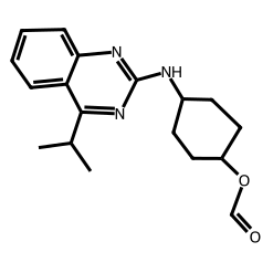 CC(C)c1nc(NC2CCC(OC=O)CC2)nc2ccccc12